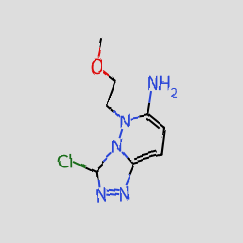 COCCN1C(N)=CC=C2N=NC(Cl)N21